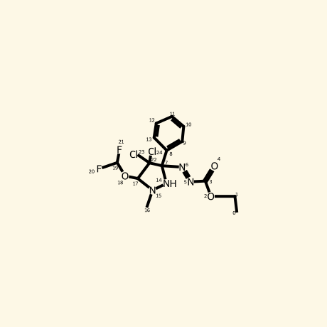 CCOC(=O)N=NC1(c2ccccc2)NN(C)C(OC(F)F)C1(Cl)Cl